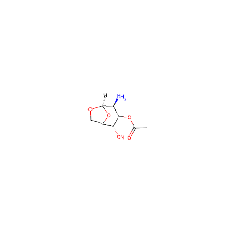 CC(=O)OC1[C@H](O)C2CO[C@H](O2)[C@H]1N